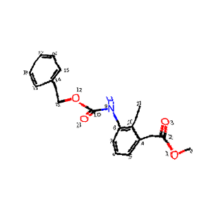 COC(=O)c1cccc(NC(=O)OCc2ccccc2)c1C